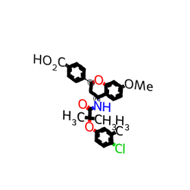 COc1ccc2c(c1)O[C@@H](c1ccc(C(=O)O)cc1)C[C@H]2NC(=O)C(C)(C)Oc1ccc(Cl)c(C)c1